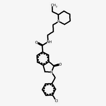 CCC1CCCCN1CCCNC(=O)c1ccc2c(c1)C(=O)N(Cc1cccc(Cl)c1)C2